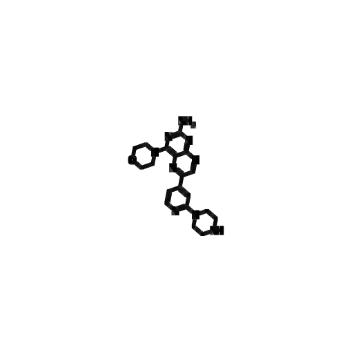 Nc1nc(N2CCOCC2)c2nc(-c3ccnc(N4CCNCC4)c3)cnc2n1